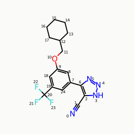 N#Cc1[nH]nnc1-c1cc(OCC2CCCCC2)cc(C(F)(F)F)c1